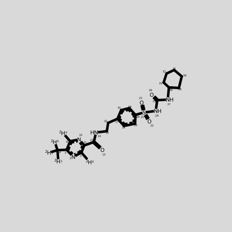 [2H]c1nc(C([2H])([2H])[2H])c([2H])nc1C(=O)NCCc1ccc(S(=O)(=O)NC(=O)NC2CCCCC2)cc1